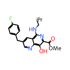 COC(=O)c1nc(NCC(C)C)c2cc(Cc3ccc(F)cc3)cnc2c1O